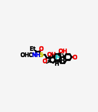 CCC(NC=O)C(=O)SCC(=O)[C@@]1(O)[C@@H](C)C[C@H]2[C@@H]3CCC4=CC(=O)C=C[C@]4(C)C3(F)[C@@H](O)C[C@@]21C